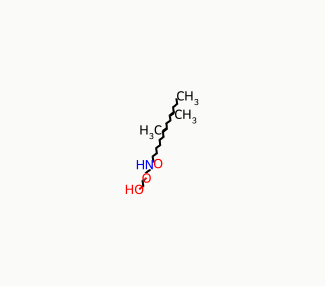 CCCC/C(C)=C/CC/C=C(\C)CCCCCCC(=O)NCCOCCO